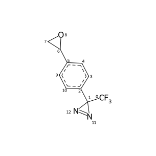 FC(F)(F)C1(c2ccc(C3CO3)cc2)N=N1